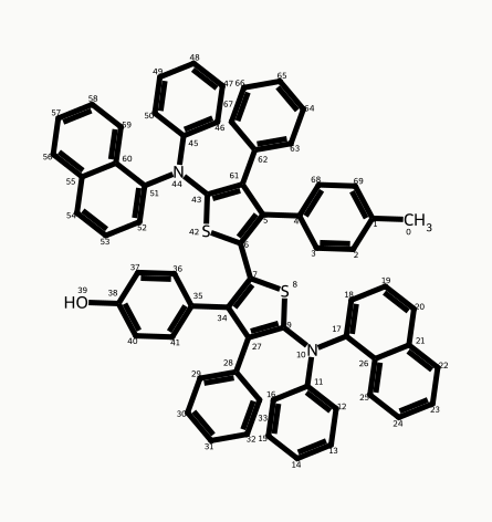 Cc1ccc(-c2c(-c3sc(N(c4ccccc4)c4cccc5ccccc45)c(-c4ccccc4)c3-c3ccc(O)cc3)sc(N(c3ccccc3)c3cccc4ccccc34)c2-c2ccccc2)cc1